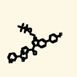 CC(C)(C)[Si](C)(C)OCCn1cc(C(=O)c2ccn3c2CSC3c2cccnc2)c2ccc(-c3ccc(F)cc3)cc21